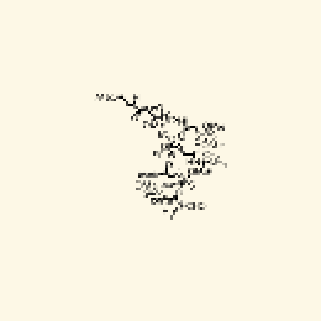 CCNC(=O)CSP(=S)(OC)OC.CCOP(=O)(OCC)SCC(=O)NC(C)(C)C#N.CNC(=O)CSP(=S)(OC)OC.COCCNC(=O)CSP(=S)(OC)OC.COP(=S)(OC)SCC(=O)N(C)C=O